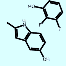 Cc1cc2cc(O)ccc2[nH]1.Oc1cccc(F)c1F